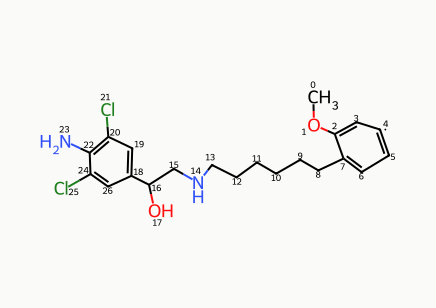 COc1c[c]ccc1CCCCCCNCC(O)c1cc(Cl)c(N)c(Cl)c1